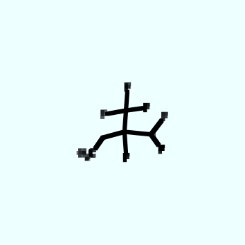 [CH2]CC(F)([C](F)F)C(F)(F)F